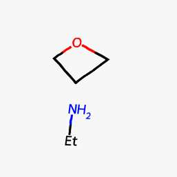 C1COC1.CCN